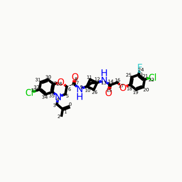 C=C(C)CN1C[C@@H](C(=O)NC23CC(NC(=O)COc4ccc(Cl)c(F)c4)(C2)C3)Oc2ccc(Cl)cc21